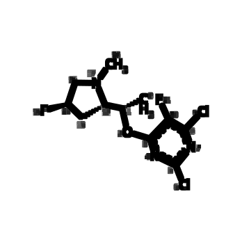 C[C@H](Oc1nc(Cl)nc(Cl)c1F)[C@@H]1C[C@@H](F)CN1C